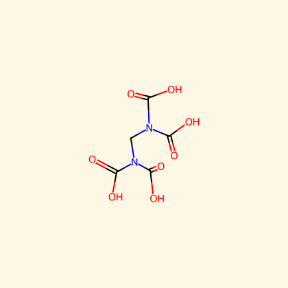 O=C(O)N(CN(C(=O)O)C(=O)O)C(=O)O